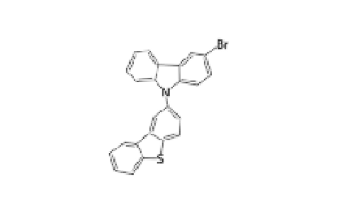 Brc1ccc2c(c1)c1ccccc1n2-c1ccc2sc3ccccc3c2c1